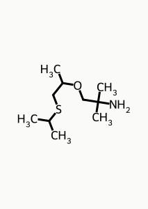 CC(CSC(C)C)OCC(C)(C)N